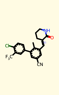 Cc1c(/C=C2\CCCNC2=O)cc(C#N)cc1-c1ccc(Cl)c(C(F)(F)F)c1